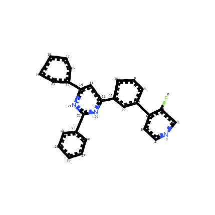 Fc1cnccc1-c1cccc(-c2cc(-c3ccccc3)nc(-c3ccccc3)n2)c1